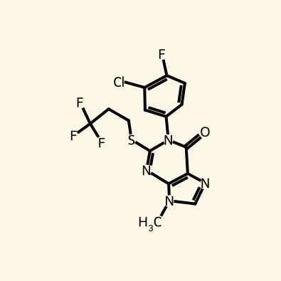 Cn1cnc2c(=O)n(-c3ccc(F)c(Cl)c3)c(SCCC(F)(F)F)nc21